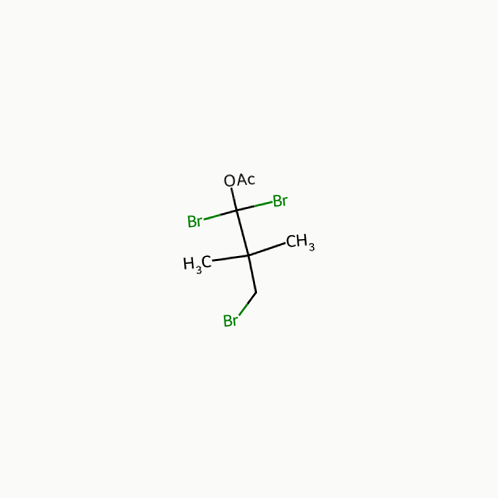 CC(=O)OC(Br)(Br)C(C)(C)CBr